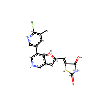 Cc1cc(-c2cncc3cc(/C=C4\SC(=O)NC4=O)oc23)cnc1F